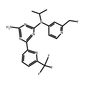 CC(C)N(c1ccnc(CF)c1)c1nc(N)nc(-c2cccc(C(F)(F)F)n2)n1